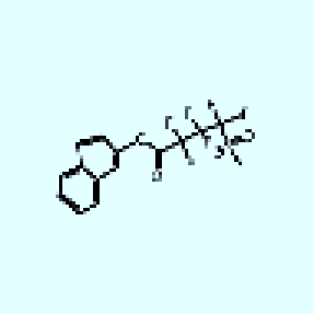 CS(=O)(=O)C(F)(F)C(F)(F)C(F)(F)C(=O)Oc1ccc2ccccc2c1